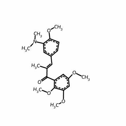 COc1cc(OC)c(OC)c(C(=O)C(C)=Cc2ccc(OC)c(N(C)C)c2)c1